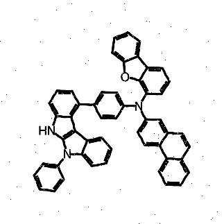 c1ccc(-n2c3ccccc3c3c4c(-c5ccc(N(c6ccc7c(ccc8ccccc87)c6)c6cccc7c6oc6ccccc67)cc5)cccc4[nH]c32)cc1